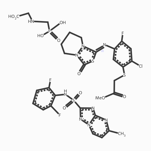 COC(=O)CSc1cc(/N=c2\sc(=O)n3n2CCCC3)c(F)cc1Cl.Cc1ccn2nc(S(=O)(=O)Nc3c(F)cccc3F)nc2n1.O=C(O)CNCP(=O)(O)O